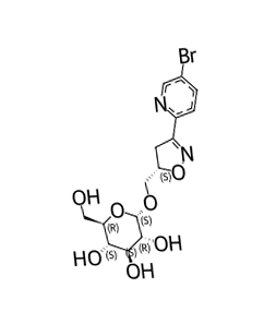 OC[C@H]1O[C@H](OC[C@@H]2CC(c3ccc(Br)cn3)=NO2)[C@H](O)[C@@H](O)[C@@H]1O